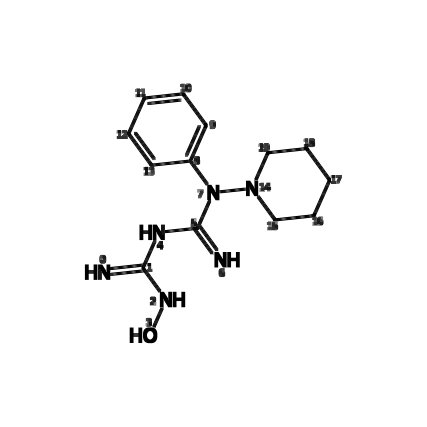 N=C(NO)NC(=N)N(c1ccccc1)N1CCCCC1